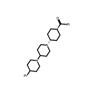 CC(C)C(=O)[C@H]1CC[C@H](N2CCC(N3CCC(C(C)C)CC3)CC2)CC1